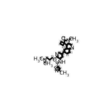 Cc1cc(SNc2cc(-c3ccc4ncc5c(c4c3)C3(CCC3)C(=O)N5C)cnc2OCCCN(C)C)sn1